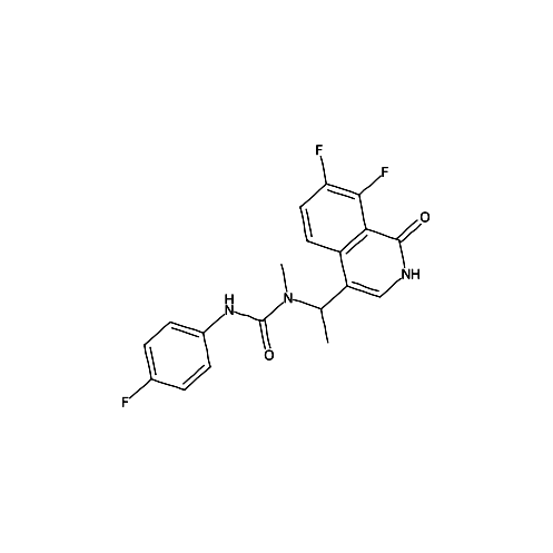 CC(c1c[nH]c(=O)c2c(F)c(F)ccc12)N(C)C(=O)Nc1ccc(F)cc1